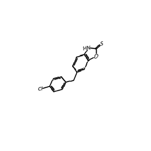 S=c1[nH]c2ccc(Cc3ccc(Cl)cc3)cc2o1